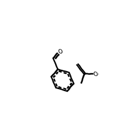 C=C(C)[O].O=Cc1ccccc1